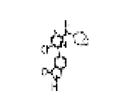 O=C1NCc2ccc(-c3nc(NC4CCOCC4)ncc3Cl)cc21